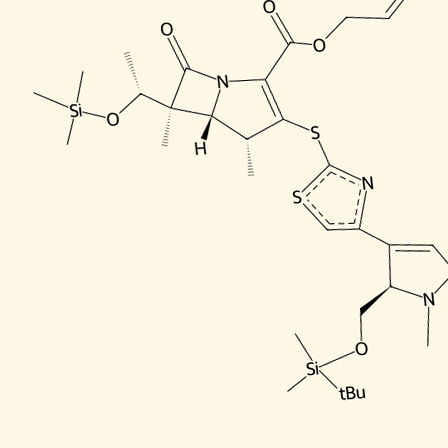 C=CCOC(=O)C1=C(Sc2nc(C3=CCN(C)[C@H]3CO[Si](C)(C)C(C)(C)C)cs2)[C@H](C)[C@H]2N1C(=O)[C@]2(C)[C@@H](C)O[Si](C)(C)C